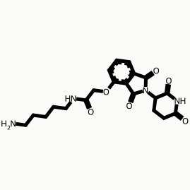 NCCCCCNC(=O)COc1cccc2c1C(=O)N(C1CCC(=O)NC1=O)C2=O